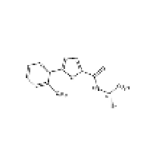 CC[C@H](NC(=O)c1ccc(-c2ccccc2OC)o1)C(=O)O